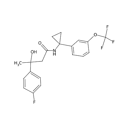 CC(O)(CC(=O)NC1(c2cccc(OC(F)(F)F)c2)CC1)c1ccc(F)cc1